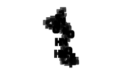 O=C(CCNCCC(=O)N1CCc2nc(SC3CCC3)n(-c3ccccc3)c(=O)c2C1)Nc1cccc(C(F)(F)F)c1